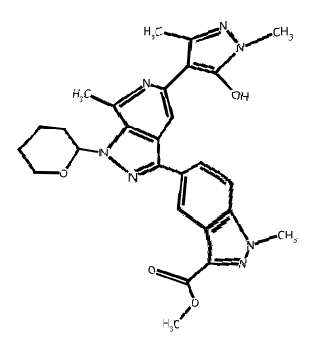 COC(=O)c1nn(C)c2ccc(-c3nn(C4CCCCO4)c4c(C)nc(-c5c(C)nn(C)c5O)cc34)cc12